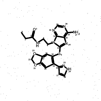 CCC(=O)NCCn1c(Sc2cc3c(cc2-c2cc[nH]n2)OCO3)nc2c(N)ncnc21